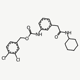 O=C(Cc1cccc(NC(=O)OCc2ccc(Cl)c(Cl)c2)c1)NC1CCCCC1